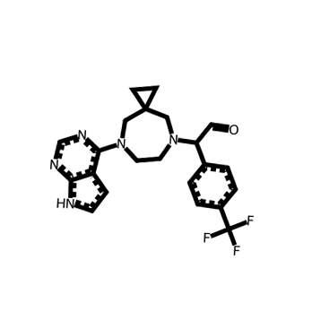 O=CC(c1ccc(C(F)(F)F)cc1)N1CCN(c2ncnc3[nH]ccc23)CC2(CC2)C1